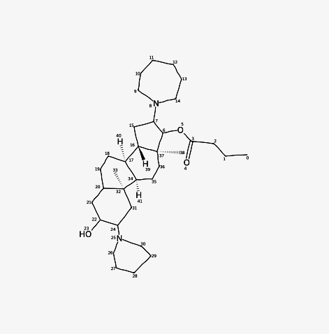 CCCC(=O)OC1C(N2CCCCCC2)C[C@H]2[C@@H]3CCC4CC(O)C(N5CCCCC5)C[C@]4(C)[C@@H]3CC[C@]12C